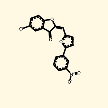 O=C1C(=Cc2ccc(-c3cccc([N+](=O)[O-])c3)o2)Oc2ccc(Cl)cc21